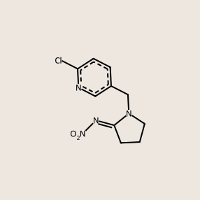 O=[N+]([O-])N=C1CCCN1Cc1ccc(Cl)nc1